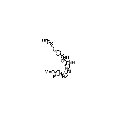 CO[C@H]1CCN(c2nccc(Nc3cc4[nH]cc(C(=O)NC(C)(C)C5CCN(CCCOC6CNC6)CC5)c4cn3)n2)C[C@H]1F